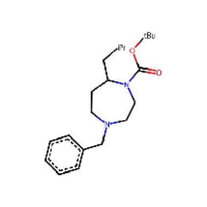 CC(C)CC1CCN(Cc2ccccc2)CCN1C(=O)OC(C)(C)C